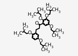 CC(C)COc1ccc(OCC(C)C)c(CCC(=O)c2cc(OCC(C)C)cc(OCC(C)C)c2OCC(C)C)c1